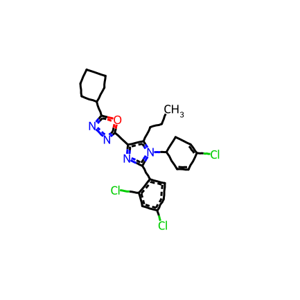 CCCc1c(-c2nnc(C3CCCCC3)o2)nc(-c2ccc(Cl)cc2Cl)n1C1C=CC(Cl)=CC1